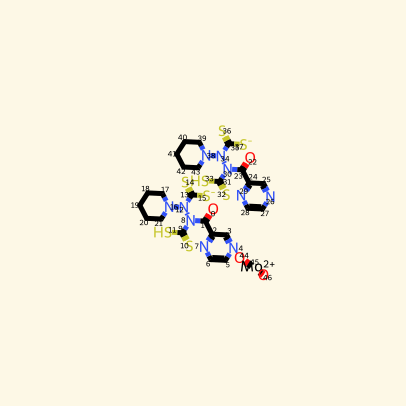 O=C(c1cnccn1)N(C(=S)S)N(C(=S)[S-])N1CCCCC1.O=C(c1cnccn1)N(C(=S)S)N(C(=S)[S-])N1CCCCC1.[O]=[Mo+2]=[O]